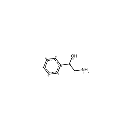 NC[C](O)c1ccccc1